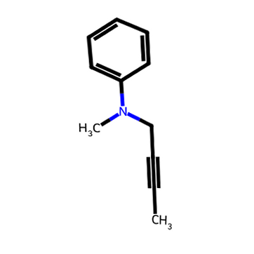 CC#CCN(C)c1ccccc1